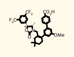 COc1cc(C2=C(CN3C(=O)O[C@H](c4cc(C(F)(F)F)cc(C(F)(F)F)c4)[C@@H]3C)CC(C)(C)CC2)cc(-c2ccc(C(=O)O)cc2)c1